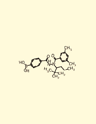 CCCC(N(NC(=O)c1ccc(B(O)O)cc1)C(=O)c1cc(C)cc(C)c1)C(C)(C)C